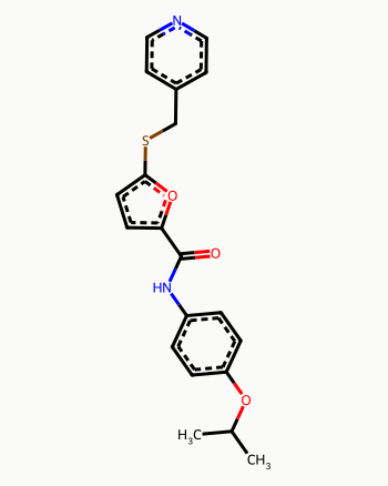 CC(C)Oc1ccc(NC(=O)c2ccc(SCc3ccncc3)o2)cc1